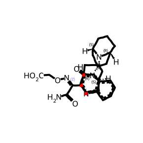 NC(=O)/C(=N\OCC(=O)O)c1nc2ccccc2n([C@H]2C[C@H]3CCC[C@@H](C2)N3[C@H]2C[C@@H]3CCC[C@@H](C3)C2)c1=O